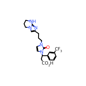 O=C(O)CC(c1cccc(C(F)(F)F)c1)n1ccn(CCCc2cn3c(n2)NCCC3)c1=O